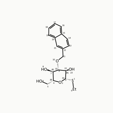 CCS[C@@H]1O[C@H](CO)[C@@H](O)[C@H](OCc2ccc3ccccc3c2)[C@H]1O